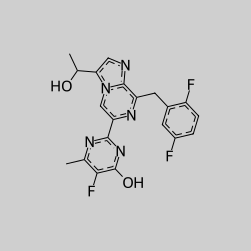 Cc1nc(-c2cn3c(C(C)O)cnc3c(Cc3cc(F)ccc3F)n2)nc(O)c1F